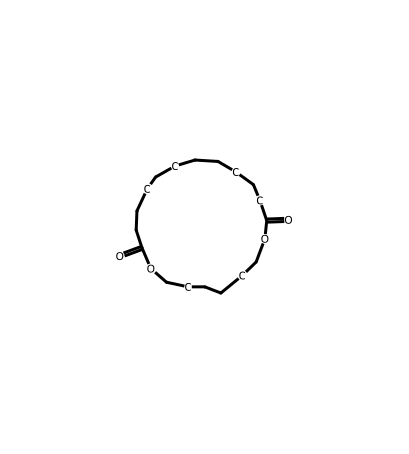 O=C1CCCCCCCCCCC(=O)OCCCCCCO1